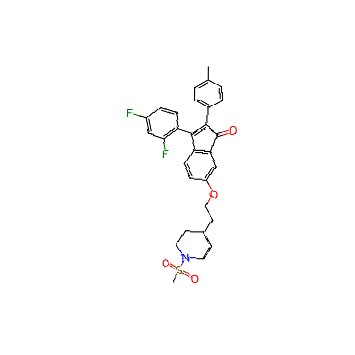 Cc1ccc(C2=C(c3ccc(F)cc3F)c3ccc(OCCC4CCN(S(C)(=O)=O)CC4)cc3C2=O)cc1